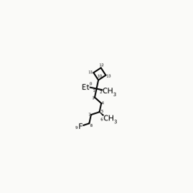 CCC(C)(CC[C@@H](C)CCF)C1CCC1